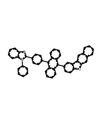 c1ccc(-n2c(-c3ccc(-c4c5ccccc5c(-c5ccc6oc7cc8ccccc8cc7c6c5)c5ccccc45)cc3)nc3ccccc32)cc1